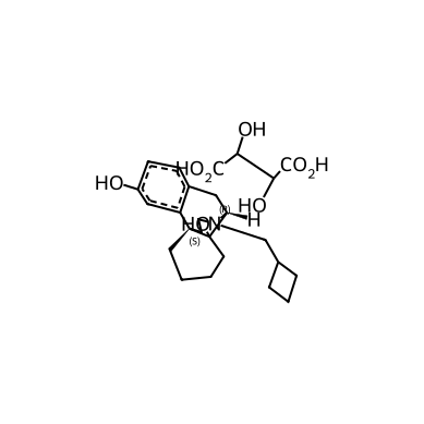 O=C(O)C(O)C(O)C(=O)O.Oc1ccc2c(c1)[C@@]13CCCCC1(O)[C@@H](C2)N(CC1CCC1)CC3